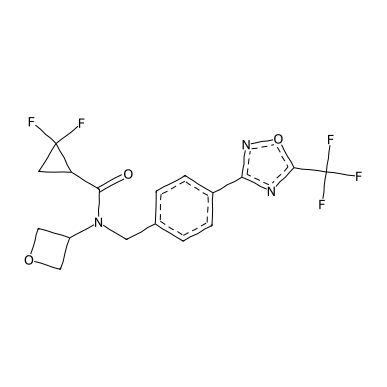 O=C(C1CC1(F)F)N(Cc1ccc(-c2noc(C(F)(F)F)n2)cc1)C1COC1